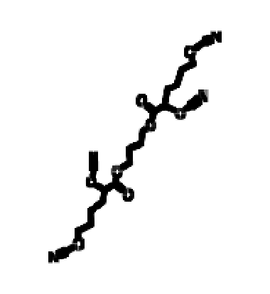 N#COCCCCC(OC#N)C(=O)OCCCCOC(=O)C(CCCCOC#N)OC#N